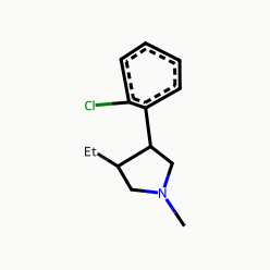 CCC1CN(C)CC1c1ccccc1Cl